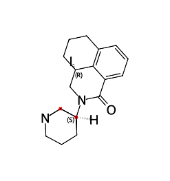 O=C1c2cccc3c2[C@](I)(CCC3)CN1[C@@H]1CN2CCC1CC2